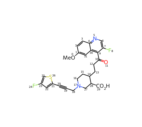 COc1ccc2ncc(F)c(C(=O)CCC3CCN(CC#Cc4cc(F)cs4)CC3C(=O)O)c2c1